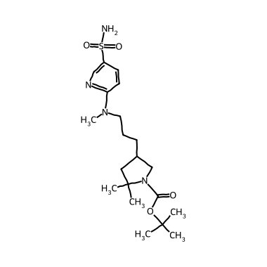 CN(CCCC1CN(C(=O)OC(C)(C)C)C(C)(C)C1)c1ccc(S(N)(=O)=O)cn1